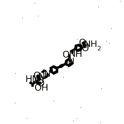 CC(C)[C@@H](NS(=O)(=O)N1CCN(c2ccc(C#Cc3ccnc(C(=O)NCc4ccc(S(N)(=O)=O)cc4)c3)cc2)CC1)C(=O)O